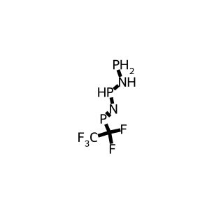 FC(F)(F)C(F)(F)P=NPNP